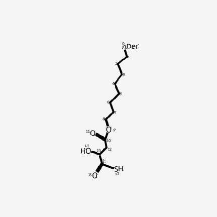 CCCCCCCCCCCCCCCCCCOC(=O)CC(O)C(=O)S